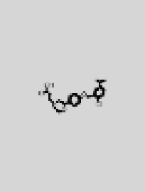 CC(C)c1ccc(Cl)c(COc2ccc(C3CN(CCC(=O)O)CCO3)cc2)c1